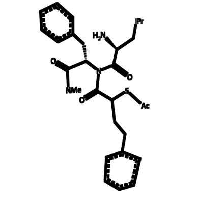 CNC(=O)[C@H](Cc1ccccc1)N(C(=O)C(CCc1ccccc1)SC(C)=O)C(=O)[C@@H](N)CC(C)C